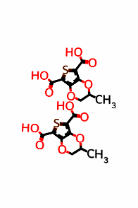 CC1COc2c(C(=O)O)sc(C(=O)O)c2O1.CC1COc2c(C(=O)O)sc(C(=O)O)c2O1